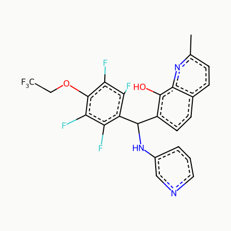 Cc1ccc2ccc(C(Nc3cccnc3)c3c(F)c(F)c(OCC(F)(F)F)c(F)c3F)c(O)c2n1